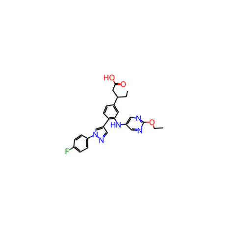 CCOc1ncc(Nc2cc(C(CC)CC(=O)O)ccc2-c2cnn(-c3ccc(F)cc3)c2)cn1